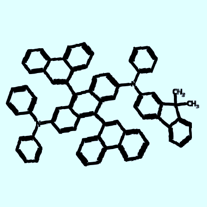 CC1(C)c2ccccc2-c2ccc(N(c3ccccc3)c3ccc4c(-c5cc6ccccc6c6ccccc56)c5cc(N(c6ccccc6)c6ccccc6)ccc5c(-c5cc6ccccc6c6ccccc56)c4c3)cc21